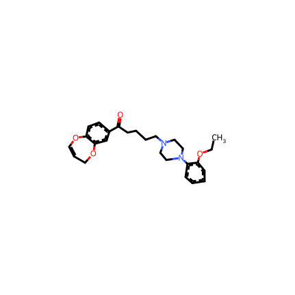 CCOc1ccccc1N1CCN(CCCCC(=O)c2ccc3c(c2)OCC=CO3)CC1